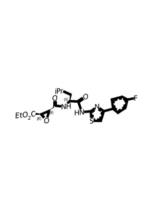 CCOC(=O)[C@@H]1O[C@H]1C(=O)N[C@@H](CC(C)C)C(=O)Nc1nc(-c2ccc(F)cc2)cs1